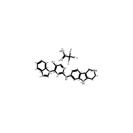 Fc1cnc(Nc2ccc3c4c([nH]c3c2)CCNC4)nc1-n1cnc2ccccc21.O=C(O)C(F)(F)F